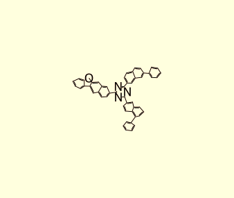 c1ccc(-c2ccc3ccc(-c4nc(-c5ccc6cc7c(cc6c5)oc5ccccc57)nc(-c5ccc6c(-c7ccccc7)cccc6c5)n4)cc3c2)cc1